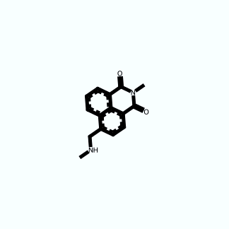 CNCc1ccc2c3c(cccc13)C(=O)N(C)C2=O